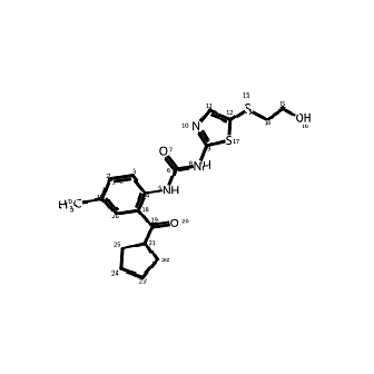 Cc1ccc(NC(=O)Nc2ncc(SCCO)s2)c(C(=O)C2CCCC2)c1